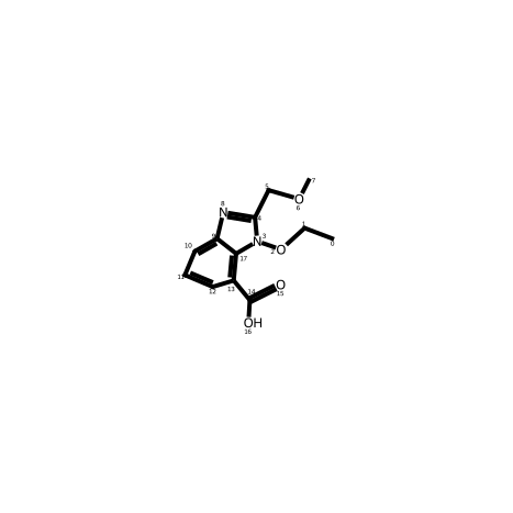 CCOn1c(COC)nc2cccc(C(=O)O)c21